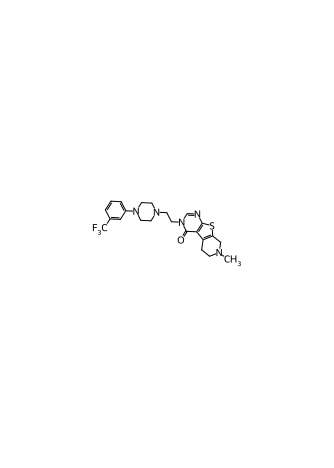 CN1CCc2c(sc3ncn(CCN4CCN(c5cccc(C(F)(F)F)c5)CC4)c(=O)c23)C1